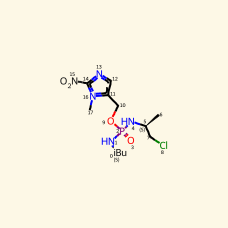 CC[C@H](C)NP(=O)(N[C@@H](C)CCl)OCc1cnc([N+](=O)[O-])n1C